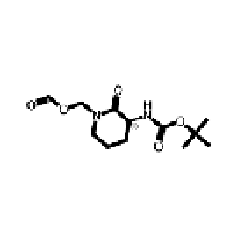 CC(C)(C)OC(=O)N[C@H]1CCCN(COC=O)C1=O